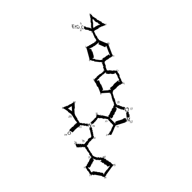 CCOC(=O)C1(c2ccc(-c3ccc(-c4onc(C)c4CN(CC(C)c4ccccc4)C(=O)C4CC4)cc3)cc2)CC1